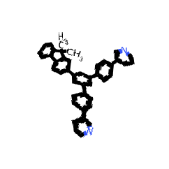 CC1(C)c2ccccc2-c2ccc(-c3cc(-c4ccc(-c5cccnc5)cc4)cc(-c4ccc(-c5cccnc5)cc4)c3)cc21